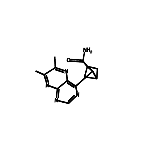 Cc1nc2ncnc(C3C4CC3(C(N)=O)C4)c2nc1C